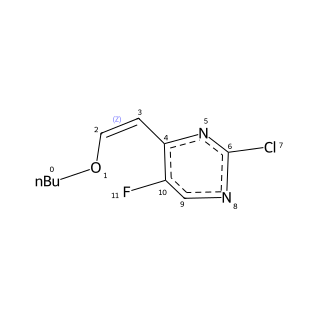 CCCCO/C=C\c1nc(Cl)ncc1F